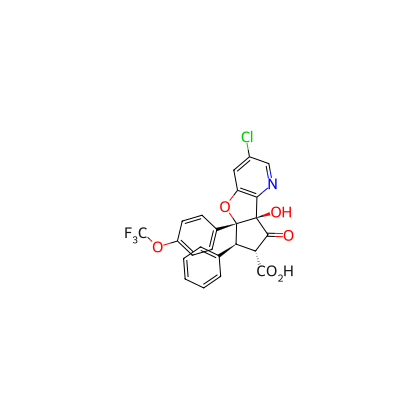 O=C(O)[C@H]1C(=O)[C@@]2(O)c3ncc(Cl)cc3O[C@@]2(c2ccc(OC(F)(F)F)cc2)[C@@H]1c1ccccc1